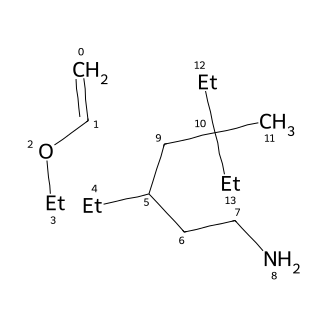 C=COCC.CCC(CCN)CC(C)(CC)CC